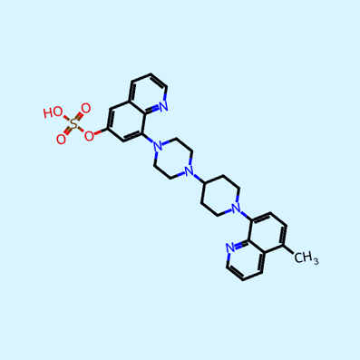 Cc1ccc(N2CCC(N3CCN(c4cc(OS(=O)(=O)O)cc5cccnc45)CC3)CC2)c2ncccc12